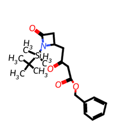 CC(C)(C)[Si](C)(C)N1C(=O)CC1CC(=O)CC(=O)OCc1ccccc1